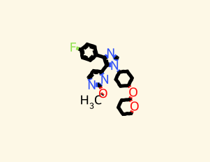 COc1nccc(-c2c(-c3ccc(F)cc3)ncn2C2CCC(OC3CCCCO3)CC2)n1